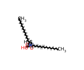 CCCCCCCCCCCCCCCCCC(=O)[N+](CC)(CCO)C(=O)CCCCCCCCCCCCCCCCC